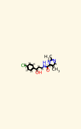 Cc1ncc(C)c(C(=O)NCC[C@H](O)c2ccc(Cl)cc2)n1